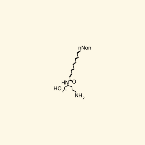 CCCCCCCCCC=CC=CC=CC=CC=CC(=O)N[C@@H](CCCN)C(=O)O